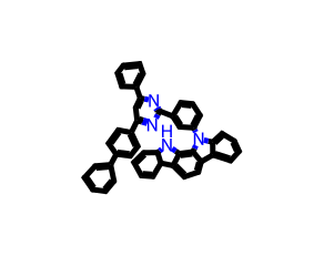 C1=CC2Nc3c(ccc4c5ccccc5n(-c5cccc(-c6nc(-c7ccccc7)cc(-c7ccc(-c8ccccc8)cc7)n6)c5)c34)C2C=C1